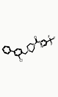 O=C(N1CCN(Cc2ccc(-c3ccccc3)cc2Cl)CC1)n1cc(C(F)(F)F)cn1